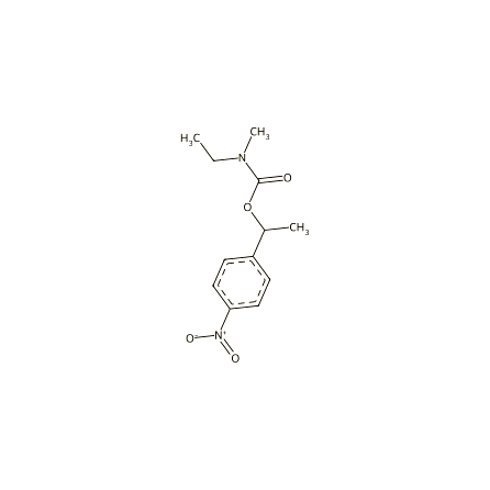 CCN(C)C(=O)OC(C)c1ccc([N+](=O)[O-])cc1